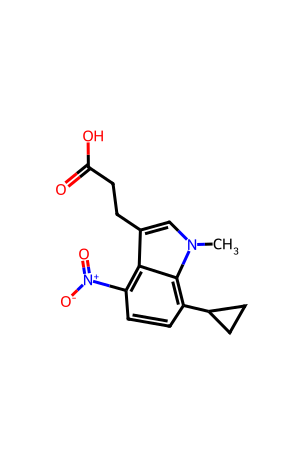 Cn1cc(CCC(=O)O)c2c([N+](=O)[O-])ccc(C3CC3)c21